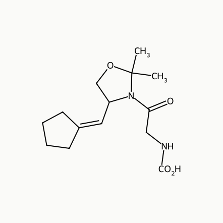 CC1(C)OCC(C=C2CCCC2)N1C(=O)CNC(=O)O